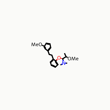 [CH2]OC(C)[C@H](Oc1ccccc1CCc1cccc(OC)c1)N(C)C